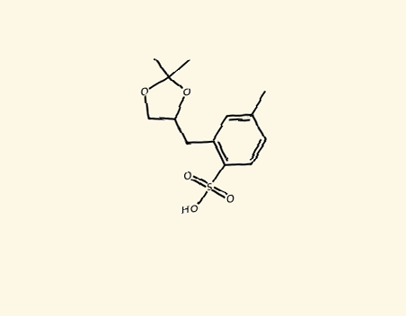 Cc1ccc(S(=O)(=O)O)c(CC2COC(C)(C)O2)c1